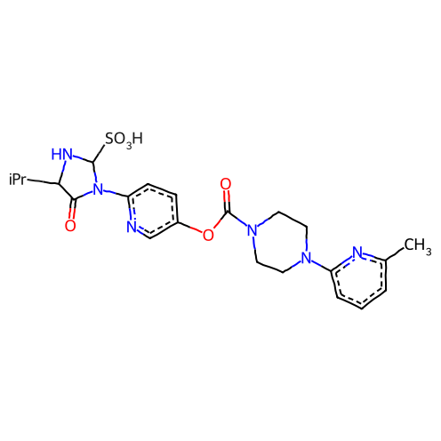 Cc1cccc(N2CCN(C(=O)Oc3ccc(N4C(=O)C(C(C)C)NC4S(=O)(=O)O)nc3)CC2)n1